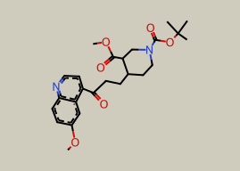 COC(=O)C1CN(C(=O)OC(C)(C)C)CCC1CCC(=O)c1ccnc2ccc(OC)cc12